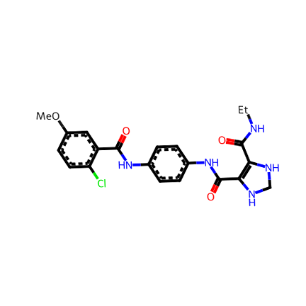 CCNC(=O)C1=C(C(=O)Nc2ccc(NC(=O)c3cc(OC)ccc3Cl)cc2)NCN1